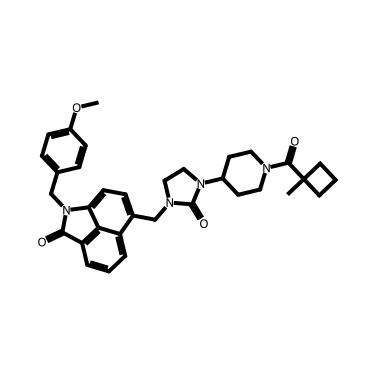 COc1ccc(CN2C(=O)c3cccc4c(CN5CCN(C6CCN(C(=O)C7(C)CCC7)CC6)C5=O)ccc2c34)cc1